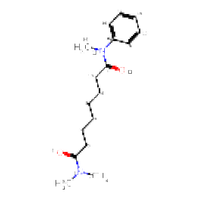 CN(C)C(=O)CCCCCCC(=O)N(C)c1ccccc1